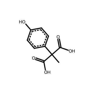 CC(C(=O)O)(C(=O)O)c1ccc(O)cc1